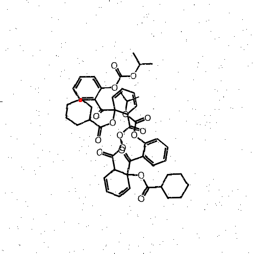 CC(C)OC(=O)Oc1ccccc1C(=O)C1(OC(=O)C2CCCCC2)C=CC=CC1C(=O)OOC(=O)C1C=CC=CC1(OC(=O)C1CCCCC1)C(=O)c1ccccc1OC(=O)OC(C)C